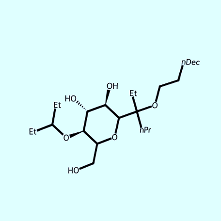 CCCCCCCCCCCCOC(CC)(CCC)C1OC(CO)[C@@H](OC(CC)CC)[C@H](O)[C@H]1O